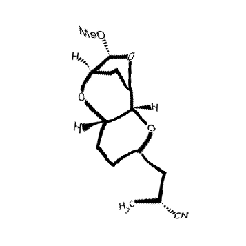 CO[C@@H]1OC2C[C@H]1O[C@H]1CC[C@H](C[C@@H](C)C#N)O[C@@H]21